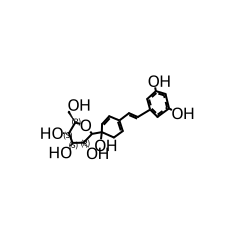 OC[C@H]1OC(C2(O)C=CC(C=Cc3cc(O)cc(O)c3)=CC2)[C@H](O)[C@@H](O)[C@@H]1O